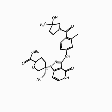 Cc1cc(Nc2nn([C@]3(CC#N)CCC(C(=O)OCC(C)C)OC3)c3cc[nH]c(=O)c23)ccc1C(=O)N1CCC(O)(C(F)(F)F)C1